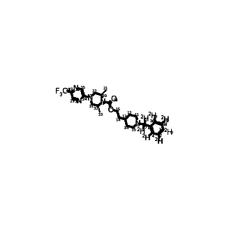 [2H]c1c([2H])c([2H])c(C([2H])([2H])N2CCC(CCOC(=O)N3[C@H](C)CN(c4cnc(C(F)(F)F)cn4)C[C@@H]3C)CC2)c([2H])c1[2H]